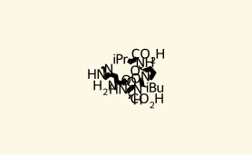 CC[C@H](C)[C@H](NC(=O)[C@H](CC(=O)O)NC(=O)[C@@H](N)Cc1c[nH]cn1)C(=O)N1CCC[C@H]1C(=O)N[C@@H](CC(C)C)C(=O)O